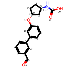 O=Cc1cccc(-c2cccc(O[C@@H]3CC[C@@H](NC(=O)O)C3)c2)c1